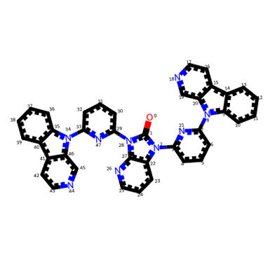 O=c1n(-c2cccc(-n3c4ccccc4c4ccncc43)n2)c2cccnc2n1-c1cccc(-n2c3ccccc3c3ccncc32)n1